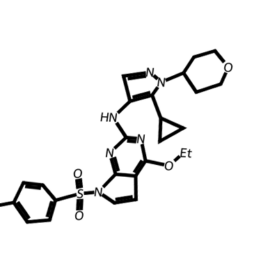 CCOc1nc(Nc2cnn(C3CCOCC3)c2C2CC2)nc2c1ccn2S(=O)(=O)c1ccc(C)cc1